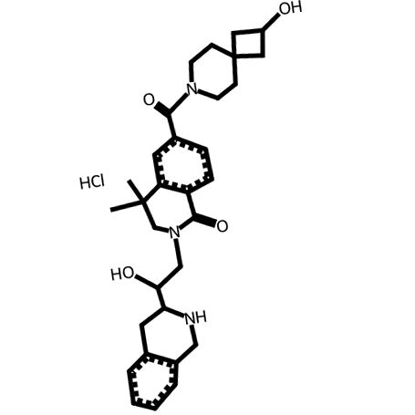 CC1(C)CN(CC(O)C2Cc3ccccc3CN2)C(=O)c2ccc(C(=O)N3CCC4(CC3)CC(O)C4)cc21.Cl